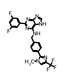 Cn1cc(C(F)(F)F)nc1-c1ccc(CNc2nc(-c3cc(F)cc(F)c3)nc3nc[nH]c23)cc1